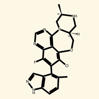 Cc1ccc2[nH]ncc2c1-c1c(Cl)c2c3c(ncnc3c1F)N1C[C@@H](C)NC[C@H]1CO2